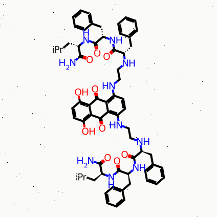 CC(C)C[C@H](NC(=O)[C@H](Cc1ccccc1)NC(=O)[C@H](Cc1ccccc1)NCCNc1ccc(NCCN[C@@H](Cc2ccccc2)C(=O)N[C@@H](Cc2ccccc2)C(=O)N[C@@H](CC(C)C)C(N)=O)c2c1C(=O)c1c(O)ccc(O)c1C2=O)C(N)=O